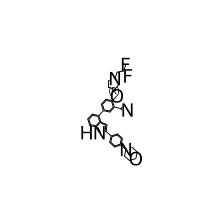 N#Cc1cc(-c2cccc3[nH]c(-c4ccc(N5CCOCC5)cc4)cc23)ccc1O[C@@H]1CCN(CC(F)F)C1